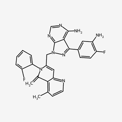 C=C1c2c(C)ccnc2C=C(Cn2nc(-c3ccc(F)c(N)c3)c3c(N)ncnc32)N1c1ccccc1F